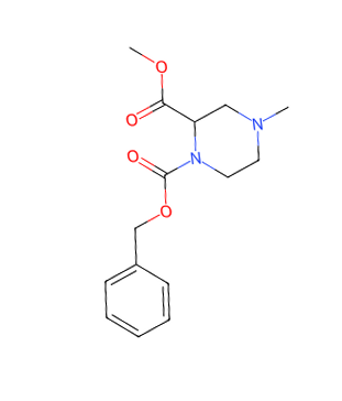 COC(=O)C1CN(C)CCN1C(=O)OCc1ccccc1